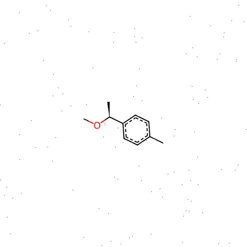 CO[C@@H](C)c1ccc(C)cc1